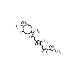 CCC[C@H](O)CC=C(C)C=CC=C(C)C=C(C)C=CC(=O)O[C@H]1CCCC(=O)O[C@@H](C(C)C)CC=CC[C@@H]1C